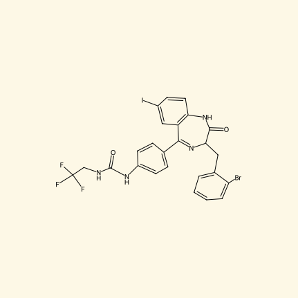 O=C(NCC(F)(F)F)Nc1ccc(C2=NC(Cc3ccccc3Br)C(=O)Nc3ccc(I)cc32)cc1